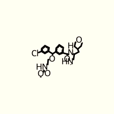 CNCC(CC1CCOCC1)NC(=O)c1cccc(C(OCCNC(=O)OC)c2cccc(Cl)c2)c1